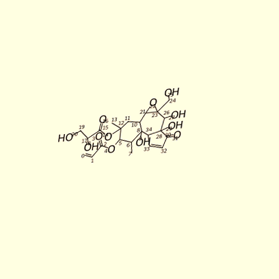 C=CC(=O)OC1C(C)C2(O)C(CC1(C)OC(=O)C(O)CO)C1OC1(CO)C(O)C1(O)C(=O)C=CC12